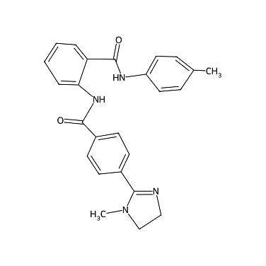 Cc1ccc(NC(=O)c2ccccc2NC(=O)c2ccc(C3=NCCN3C)cc2)cc1